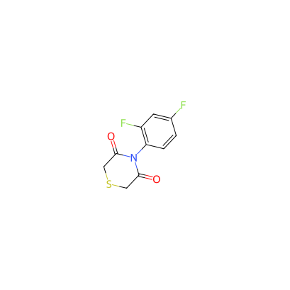 O=C1CSCC(=O)N1c1ccc(F)cc1F